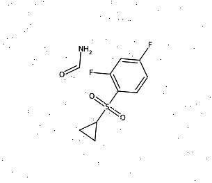 NC=O.O=S(=O)(c1ccc(F)cc1F)C1CC1